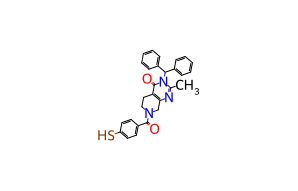 Cc1nc2c(c(=O)n1C(c1ccccc1)c1ccccc1)CCN(C(=O)c1ccc(S)cc1)C2